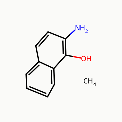 C.Nc1ccc2ccccc2c1O